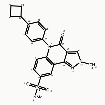 CNS(=O)(=O)c1ccc2c(c1)c1nn(C)cc1c(=O)n2-c1ccc(C2CCC2)cc1